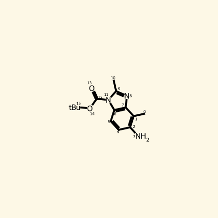 Cc1c(N)ccc2c1nc(C)n2C(=O)OC(C)(C)C